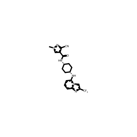 Cn1cc(C(=O)N[C@H]2CC[C@@H](Nc3cccc4nc(C(F)(F)F)cn34)CC2)c(C#N)n1